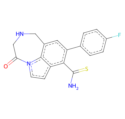 NC(=S)c1c(-c2ccc(F)cc2)cc2c3c1ccn3C(=O)CNC2